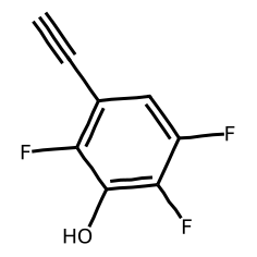 C#Cc1cc(F)c(F)c(O)c1F